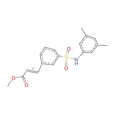 COC(=O)/C=C/c1cccc(S(=O)(=O)Nc2cc(C)cc(C)c2)c1